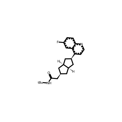 CC(C)(C)NC(=O)C[C@@H]1C[C@@H]2C[C@H](c3ccnc4ccc(F)cc34)C[C@@H]2C1